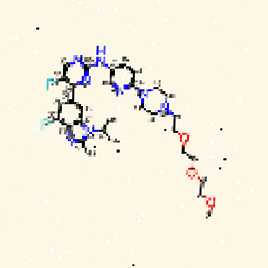 COCCOCCOCCN1CCN(c2ccc(Nc3ncc(F)c(-c4cc(F)c5nc(C)n(C(C)C)c5c4)n3)cn2)CC1